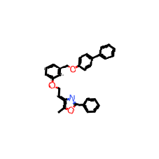 Cc1oc(-c2ccccc2)nc1CCOc1[c]c(COc2ccc(-c3ccccc3)cc2)ccc1